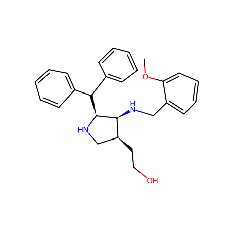 COc1ccccc1CN[C@H]1[C@@H](CCO)CN[C@H]1C(c1ccccc1)c1ccccc1